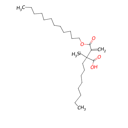 C=C(C(=O)OCCCCCCCCCCCC)C([SiH3])(CCCCCCCC)C(=O)O